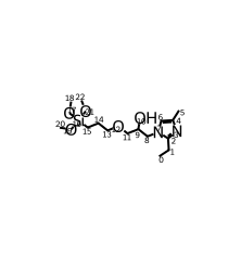 CCc1nc(C)cn1CC(O)COCCC[Si](OC)(OC)OC